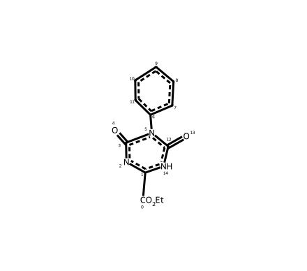 CCOC(=O)c1nc(=O)n(-c2ccccc2)c(=O)[nH]1